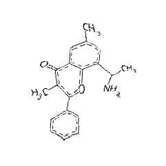 Cc1cc(C(C)N)c2oc(-c3ccccc3)c(C)c(=O)c2c1